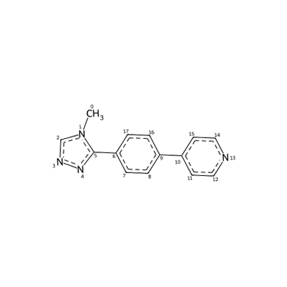 Cn1cnnc1-c1ccc(-c2ccncc2)cc1